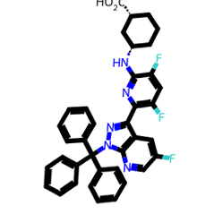 O=C(O)[C@@H]1CCC[C@H](Nc2nc(-c3nn(C(c4ccccc4)(c4ccccc4)c4ccccc4)c4ncc(F)cc34)c(F)cc2F)C1